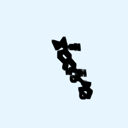 N#C[C@@]1(c2ccc3cnc(NC(=O)[C@H]4CC45CCOC5)cc3c2)CC12CC2